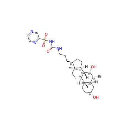 CC[C@H]1[C@@H](O)[C@@H]2[C@H](CC[C@]3(C)[C@@H](CCCNC(=O)NS(=O)(=O)c4cnccn4)CC[C@@H]23)[C@@]2(C)CC[C@@H](O)C[C@@H]12